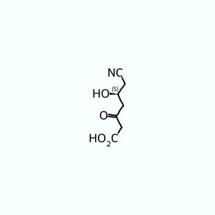 N#CC[C@H](O)CC(=O)CC(=O)O